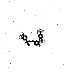 C#CC(C)(CCCc1ccc(F)c(Nc2ccc(C(F)(F)F)cc2)c1)c1ccc2c(c1)OCO2